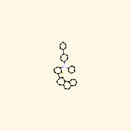 c1ccc(-c2ccc(N(c3ccccc3)c3cccc4c3sc3c4ccc4ccc5ccccc5c43)cc2)cc1